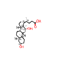 C[C@H](CCC(=O)O)[C@H]1CC[C@H]2C3CC[C@@H]4C[C@H](O)CC[C@]4(C)[C@H]3C[C@H](O)[C@]12C